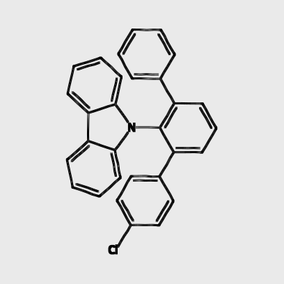 Clc1ccc(-c2cccc(-c3ccccc3)c2-n2c3ccccc3c3ccccc32)cc1